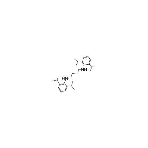 CC(C)c1cccc(C(C)C)c1NCCCCNc1c(C(C)C)cccc1C(C)C